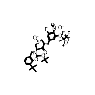 CO[C@](C)(Oc1cc(C[C@@H]2C[S@@+]([O-])C[C@H](N(Cc3cccc(C(C)(C)C)c3)C(=O)OC(C)(C)C)C2=O)cc(F)c1[N+](=O)[O-])C(F)(F)F